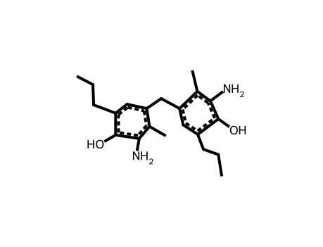 CCCc1cc(Cc2cc(CCC)c(O)c(N)c2C)c(C)c(N)c1O